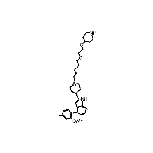 COc1cc(F)ccc1-c1ccnc2[nH]c(C3CCN(CCOCCOCCOC4CCNCC4)CC3)cc12